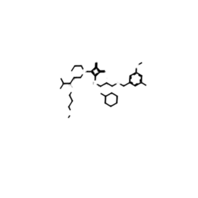 COCCCO[C@@H](C(C)C)[C@@H]1CCCN(c2c(N[C@@H](CC3CCCCC3)[C@H](O)CNCc3cc(C)cc(OC)c3)c(=O)c2=O)C1